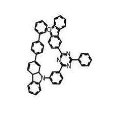 C1=CC2c3ccccc3N(c3cccc(-c4nc(-c5ccccc5)nc(-c5ccc6oc7ccccc7c6c5)n4)c3)C2C=C1c1ccc(-c2ccccc2)cc1